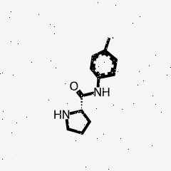 [CH2]c1ccc(NC(=O)[C@@H]2CCCN2)cc1